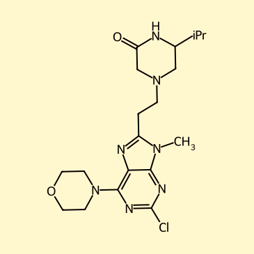 CC(C)C1CN(CCc2nc3c(N4CCOCC4)nc(Cl)nc3n2C)CC(=O)N1